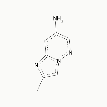 Cc1cn2ncc(N)cc2n1